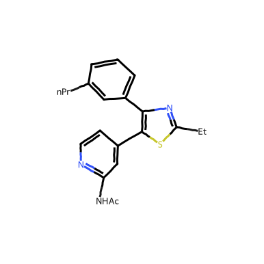 CCCc1cccc(-c2nc(CC)sc2-c2ccnc(NC(C)=O)c2)c1